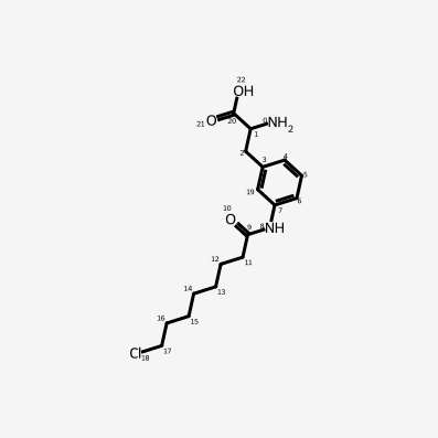 NC(Cc1cccc(NC(=O)CCCCCCCCl)c1)C(=O)O